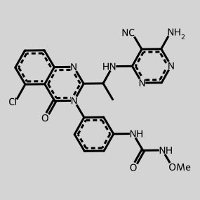 CONC(=O)Nc1cccc(-n2c(C(C)Nc3ncnc(N)c3C#N)nc3cccc(Cl)c3c2=O)c1